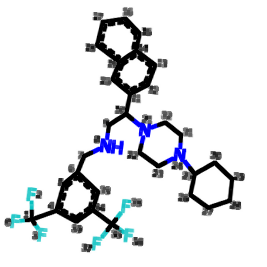 FC(F)(F)c1cc(CNCC(c2ccc3ccccc3c2)N2CCN(C3CCCCC3)CC2)cc(C(F)(F)F)c1